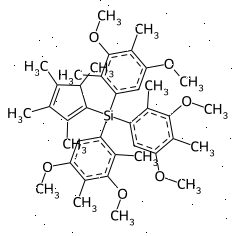 COc1cc([Si](C2=C(C)C(C)=C(C)C2C)(c2cc(OC)c(C)c(OC)c2C)c2cc(OC)c(C)c(OC)c2C)c(C)c(OC)c1C